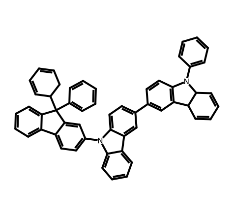 C1=CCC(C2(c3ccccc3)c3ccccc3-c3ccc(-n4c5ccccc5c5cc(-c6ccc7c(c6)C6C=CC=CC6N7c6ccccc6)ccc54)cc32)C=C1